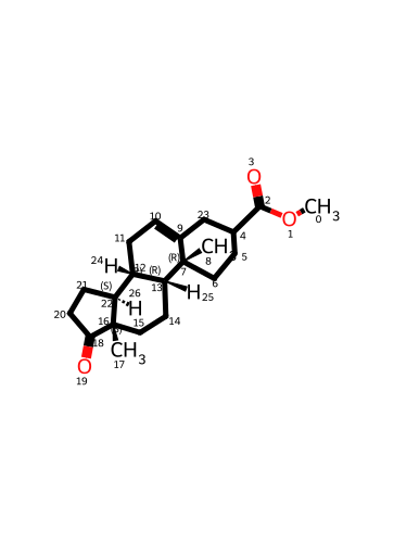 COC(=O)C1CC[C@@]2(C)C(=CC[C@@H]3[C@H]2CC[C@]2(C)C(=O)CC[C@@H]32)C1